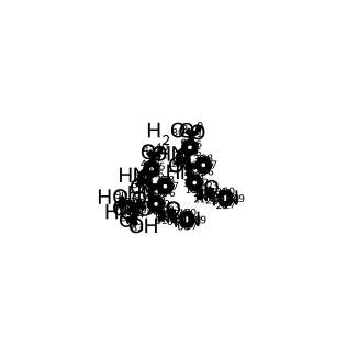 COC(=O)c1ccc2c(c1)NC(=O)/C2=C(\Nc1ccc(N(C)C(=O)CN2CCN(C)CC2)cc1)c1ccccc1.COC(=O)c1ccc2c(c1)NC(=O)/C2=C(\Nc1ccc(N(C)C(=O)CN2CCN(C)CC2)cc1)c1ccccc1.O.O=C(O)CC(O)(CC(=O)O)C(=O)O